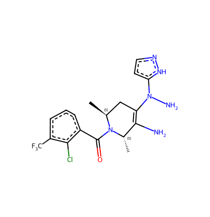 C[C@H]1CC(N(N)c2ccn[nH]2)=C(N)[C@H](C)N1C(=O)c1cccc(C(F)(F)F)c1Cl